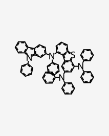 c1ccc(N(c2ccccc2)c2cc(N(c3ccccc3)c3ccccc3)c3sc4cccc(N(c5ccccc5)c5ccc6c7ccccc7n(-c7ccccc7)c6c5)c4c3c2)cc1